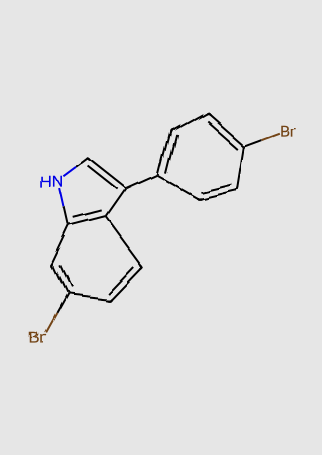 Brc1ccc(-c2c[nH]c3cc(Br)ccc23)cc1